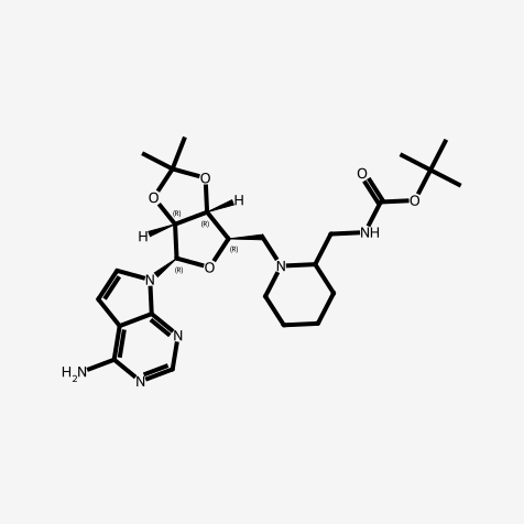 CC(C)(C)OC(=O)NCC1CCCCN1C[C@H]1O[C@@H](n2ccc3c(N)ncnc32)[C@@H]2OC(C)(C)O[C@@H]21